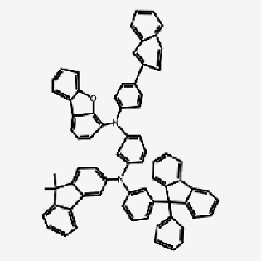 CC1(C)c2ccccc2-c2cc(N(c3cccc(N(c4ccc(-c5ccc6ccccc6c5)cc4)c4cccc5c4oc4ccccc45)c3)c3cccc(C4(c5ccccc5)c5ccccc5-c5ccccc54)c3)ccc21